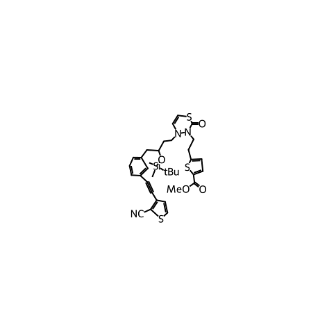 COC(=O)c1ccc(CCN2C(=O)SC=CN2CCC(Cc2cccc(C#Cc3ccsc3C#N)c2)O[Si](C)(C)C(C)(C)C)s1